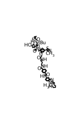 Cc1ncsc1-c1ccc(CNC(=O)[C@@H]2C[C@@H](O)CN2C(=O)[C@@H](NC(=O)C2(F)CC2)C(C)(C)C)c(OCC(=O)NCCCNC(=O)c2ccc(C(=O)Nc3ccc4[nH]c(CN5CCC[C@@H]5C)nc4c3)cc2)c1